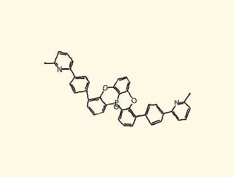 Cc1cccc(-c2ccc(-c3cccc4c3Oc3cccc5c3P4(=O)c3cccc(-c4ccc(-c6cccc(C)n6)cc4)c3O5)cc2)n1